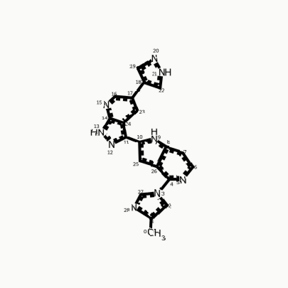 Cc1cn(-c2nccc3[nH]c(-c4n[nH]c5ncc(-c6cn[nH]c6)cc45)cc23)cn1